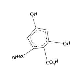 CCCCCCc1cc(O)cc(O)c1C(=O)O